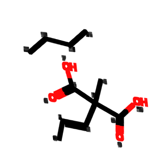 C/C=C/C(C)(C(=O)O)C(=O)O.CCCC